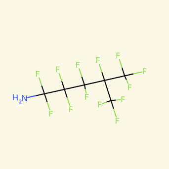 NC(F)(F)C(F)(F)C(F)(F)C(F)(C(F)(F)F)C(F)(F)F